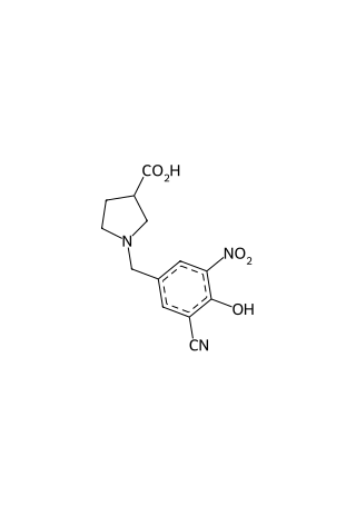 N#Cc1cc(CN2CCC(C(=O)O)C2)cc([N+](=O)[O-])c1O